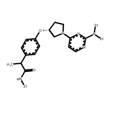 CCNC(=O)C(C)c1ccc(O[C@@H]2CCN(c3ccnc(N(CC)CC)n3)C2)cc1